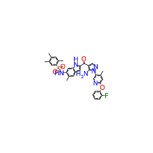 Cc1cc(C)c(S(=O)(=O)Nc2cc3[nH]c(C(=O)c4cnn(-c5cnc(Oc6ccccc6F)cc5C)c4N)cc3cc2C)cc1C